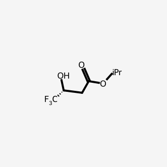 CC(C)OC(=O)C[C@@H](O)C(F)(F)F